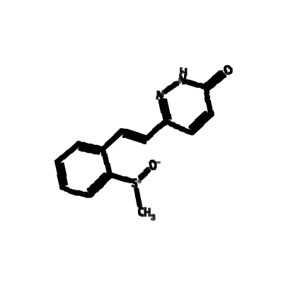 C[S+]([O-])c1ccccc1C=Cc1ccc(=O)[nH]n1